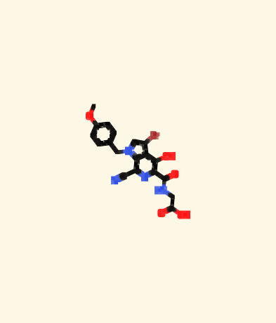 COc1ccc(Cn2cc(Br)c3c(O)c(C(=O)NCC(=O)O)nc(C#N)c32)cc1